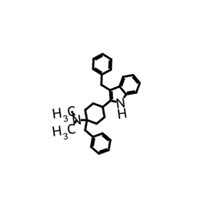 CN(C)C1(Cc2ccccc2)CCC(c2[nH]c3ccccc3c2Cc2ccccc2)CC1